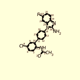 CC(=O)Nc1ccc(Cl)cc1-c1ccc(-n2c(N)nc3ccc(F)cc32)cc1